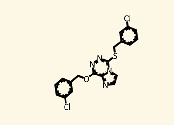 Clc1cccc(COc2nnc(SCc3cccc(Cl)c3)n3ccnc23)c1